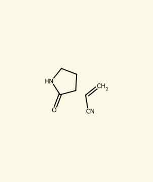 C=CC#N.O=C1CCCN1